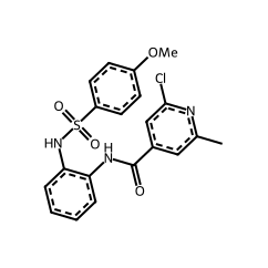 COc1ccc(S(=O)(=O)Nc2ccccc2NC(=O)c2cc(C)nc(Cl)c2)cc1